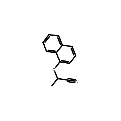 CC(C#N)Oc1cccc2ccccc12